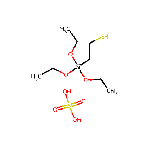 CCO[Si](CCS)(OCC)OCC.O=S(=O)(O)O